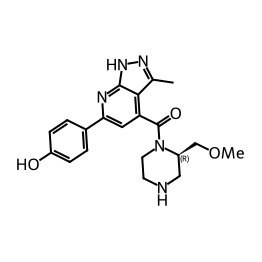 COC[C@H]1CNCCN1C(=O)c1cc(-c2ccc(O)cc2)nc2[nH]nc(C)c12